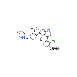 COc1cccc(-c2ccnc3cc(C)c(-c4ccc(CN5CCOCC5)cc4)c(C)c23)c1Cl